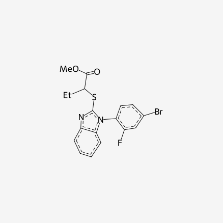 CCC(Sc1nc2ccccc2n1-c1ccc(Br)cc1F)C(=O)OC